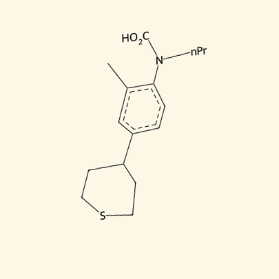 CCCN(C(=O)O)c1ccc(C2CCSCC2)cc1C